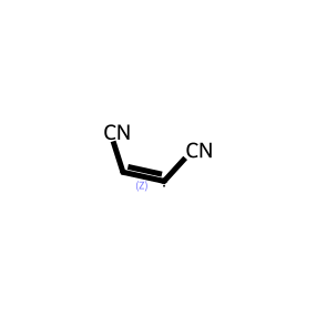 N#C/[C]=C\C#N